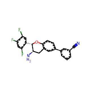 N#Cc1cccc(-c2ccc3c(c2)C[C@@H](N)[C@H](c2cc(F)c(F)cc2F)O3)c1